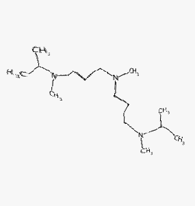 CC(C)N(C)CCCN(C)CCCN(C)C(C)C